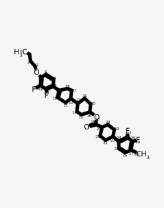 CCCCOc1ccc(C2=CCC(C3CCC(OC(=O)C4CCC(c5ccc(C)c(F)c5F)CC4)CC3)CC2)c(F)c1F